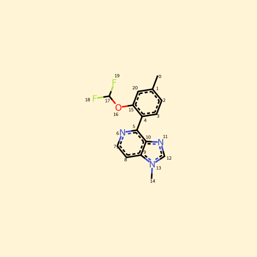 Cc1ccc(-c2n[c]cc3c2ncn3C)c(OC(F)F)c1